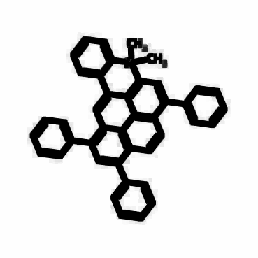 C[Si]1(C)c2ccccc2-c2cc3c(-c4ccccc4)cc(-c4ccccc4)c4ccc5c(-c6ccccc6)cc1c2c5c43